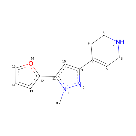 Cn1nc(C2=CCNCC2)cc1-c1ccco1